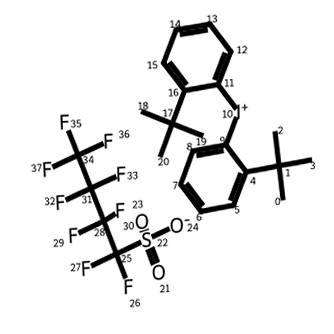 CC(C)(C)c1ccccc1[I+]c1ccccc1C(C)(C)C.O=S(=O)([O-])C(F)(F)C(F)(F)C(F)(F)C(F)(F)F